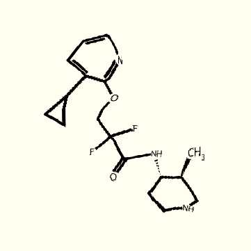 C[C@H]1CNCC[C@@H]1NC(=O)C(F)(F)COc1ncccc1C1CC1